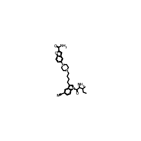 CCC(C)C(N)C(=O)n1cc(CCCCN2CCN(c3ccc4oc(C(N)=O)cc4c3)CC2)c2cc(C#N)ccc21